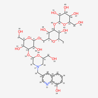 CC1OC(COC2OC(CO)C(O)C(OC3CN(Cc4cnc5c(O)cccc5c4)CC(CO)O3)C2O)C(O)C(OC2OC(CO)C(O)C(O)C2O)C1O